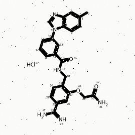 Cc1ccc2c(c1)ncn2-c1cccc(C(=O)NCc2ccc(C(=N)N)cc2OCC(N)=O)c1.Cl